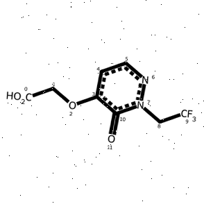 O=C(O)COc1ccnn(CC(F)(F)F)c1=O